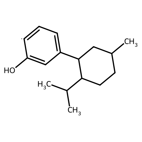 CC1CCC(C(C)C)C(c2cc[c]c(O)c2)C1